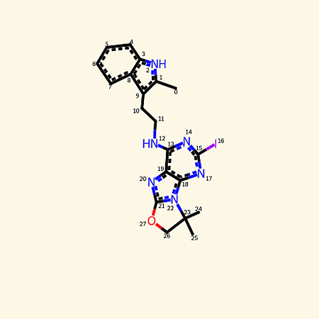 Cc1[nH]c2ccccc2c1CCNc1nc(I)nc2c1nc1n2C(C)(C)CO1